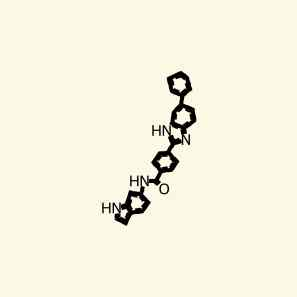 O=C(Nc1ccc2cc[nH]c2c1)c1ccc(-c2nc3ccc(-c4ccccc4)cc3[nH]2)cc1